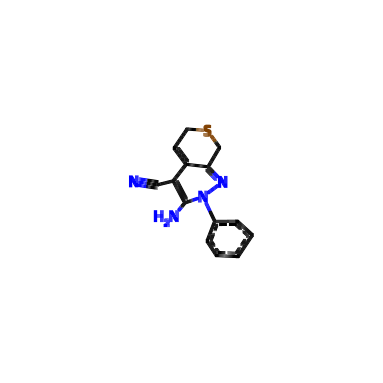 N#CC1=C(N)N(c2ccccc2)N=C2CSCC=C21